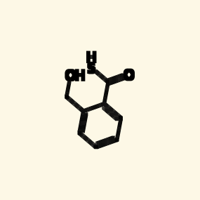 O=C(S)c1ccccc1CO